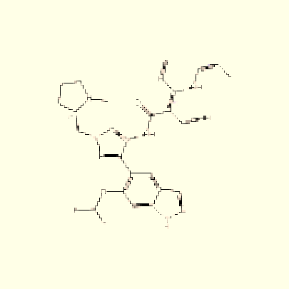 C=N/C(N/C=C\C)=C(/C=N)C(=O)Nc1cn(C[C@H]2CCCN2C)nc1-c1cc2cn[nH]c2cc1OC(F)F